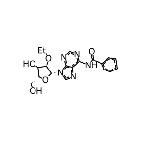 CCO[C@@H]1[C@H](O)[C@@H](CO)O[C@H]1n1cnc2c(NC(=O)c3ccccc3)ncnc21